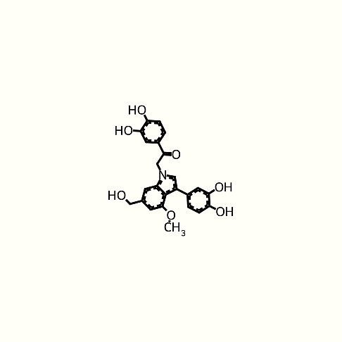 COc1cc(CO)cc2c1c(-c1ccc(O)c(O)c1)cn2CC(=O)c1ccc(O)c(O)c1